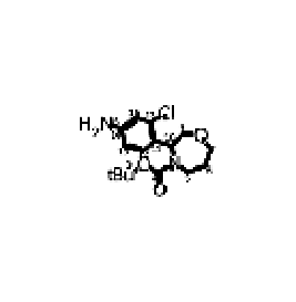 CC(C)(C)OC(=O)N1CCCOCC1c1ccc(N)cc1Cl